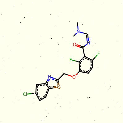 CN(C)/C=N\C(=O)c1c(F)ccc(OCc2nc3cc(Cl)ccc3s2)c1F